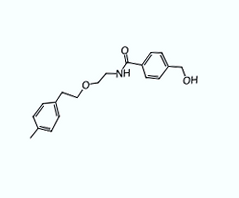 Cc1ccc(CCOCCNC(=O)c2ccc(CO)cc2)cc1